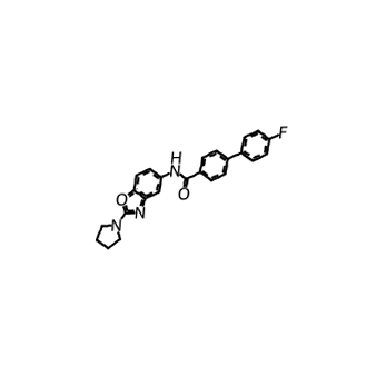 O=C(Nc1ccc2oc(N3CCCC3)nc2c1)c1ccc(-c2ccc(F)cc2)cc1